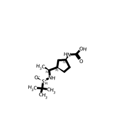 C[C@H](N[S@@+]([O-])C(C)(C)C)[C@@H]1CC[C@H](NC(=O)O)C1